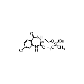 CC(C)(C)[Si](C)(C)OCC[C@H]1NC(=O)c2ccc(Cl)cc2NC1=O